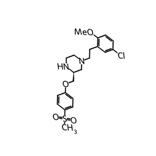 COc1ccc(Cl)cc1CCN1CCN[C@H](COc2ccc(S(C)(=O)=O)cc2)C1